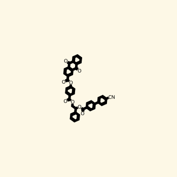 N#Cc1ccc(-c2ccc(C(=O)OC(COC(=O)c3ccc(OC(=O)c4ccc5c(c4)C(=O)c4ccccc4C5=O)cc3)c3ccccc3)cc2)cc1